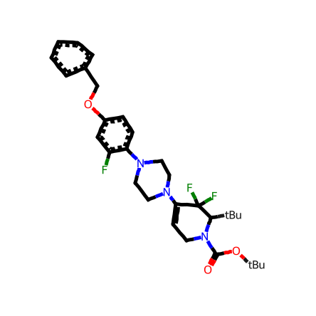 CC(C)(C)OC(=O)N1CC=C(N2CCN(c3ccc(OCc4ccccc4)cc3F)CC2)C(F)(F)C1C(C)(C)C